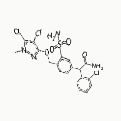 Cn1nc(OCc2ccc(C(C(N)=O)c3ccccc3Cl)cc2S(N)(=O)=O)c(Cl)c1Cl